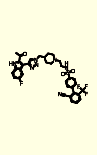 CC(=O)c1[nH]c2ccc(F)cc2c1-c1cn(CC2CCN(CCNS(=O)(=O)c3ccc(-c4c(C#N)cccc4C(F)(F)F)cc3)CC2)nn1